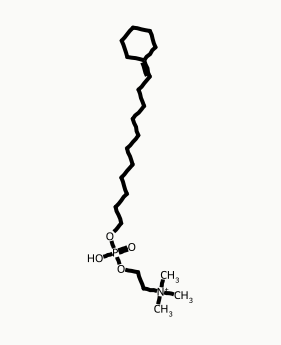 C[N+](C)(C)CCOP(=O)(O)OCCCCCCCCCCC=C1CCCCC1